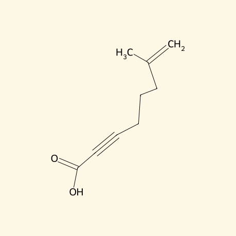 C=C(C)CCCC#CC(=O)O